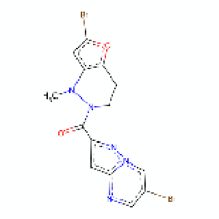 CN1c2cc(Br)oc2CCN1C(=O)c1cc2ncc(Br)cn2n1